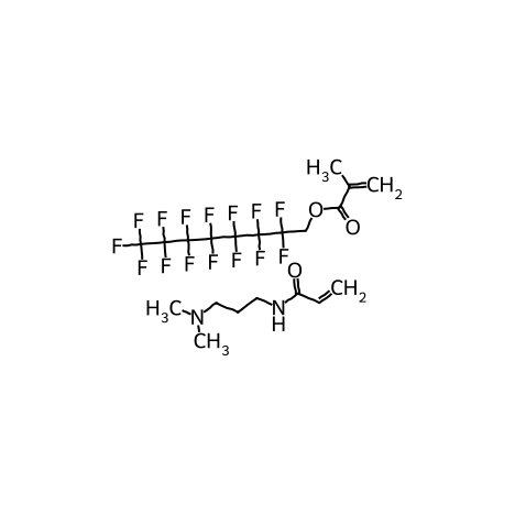 C=C(C)C(=O)OCC(F)(F)C(F)(F)C(F)(F)C(F)(F)C(F)(F)C(F)(F)C(F)(F)F.C=CC(=O)NCCCN(C)C